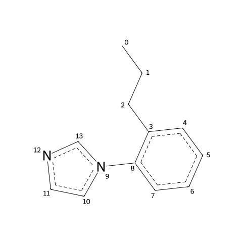 CCCc1ccccc1-n1ccnc1